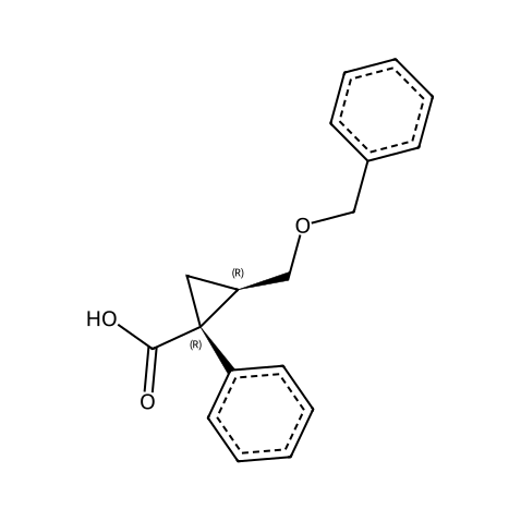 O=C(O)[C@]1(c2ccccc2)C[C@H]1COCc1ccccc1